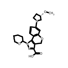 CO[C@H]1CCN(c2ccc3c(c2)OCc2c(C(=O)O)nn(C4CCCCO4)c2-3)C1